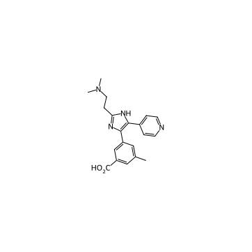 Cc1cc(C(=O)O)cc(-c2nc(CCN(C)C)[nH]c2-c2ccncc2)c1